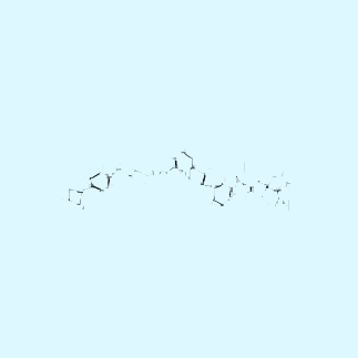 CCC(CC)(CC(=O)Nc1cccc(/C=C/c2cccc(COCCCCc3ccc(C4CCC4)cc3)n2)c1)C(=O)O